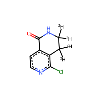 [2H]C1([2H])NC(=O)c2ccnc(Cl)c2C1([2H])[2H]